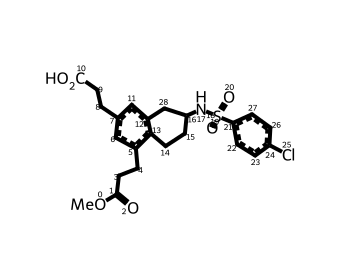 COC(=O)CCc1cc(CCC(=O)O)cc2c1CCC(NS(=O)(=O)c1ccc(Cl)cc1)C2